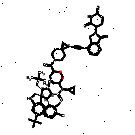 CN1[C@@H](CC(C)(C)C)[C@@]2(CNc3cc(C(F)(F)F)ncc32)[C@@H](c2cccc(Cl)c2F)[C@@H]1C(=O)N(C1CC1)C12CCC(C(=O)N3CCC4(CC3)C[C@@H]4C#Cc3cccc4c3CN(C3CCC(=O)NC3=O)C4=O)(CC1)CC2